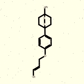 CCC=CCOc1ccc(C23CCC(CCC)(CC2)CC3)cc1